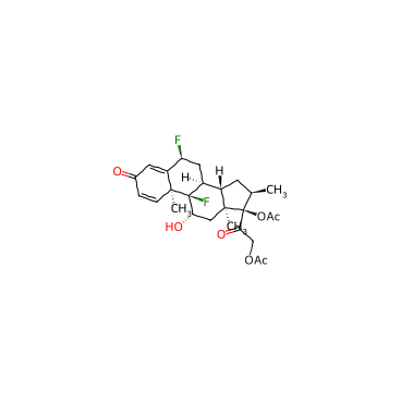 CC(=O)OCC(=O)[C@@]1(OC(C)=O)[C@H](C)C[C@H]2[C@@H]3C[C@H](F)C4=CC(=O)C=C[C@]4(C)[C@@]3(F)[C@@H](O)C[C@@]21C